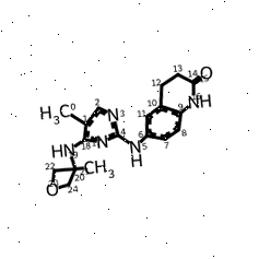 Cc1cnc(Nc2ccc3c(c2)CCC(=O)N3)nc1NC1(C)COC1